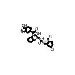 CCSc1ccc(Cl)cc1CNC(=O)N[C@@H](Cc1ccccc1)c1nc(-c2ccc3c(C)n[nH]c3c2)c(Cl)[nH]1